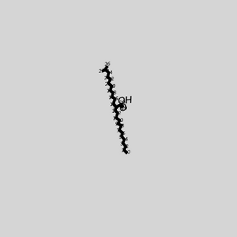 CCCCCCCCCCCCCCC(CCCCCCCCCCC(C)C)C(=O)O